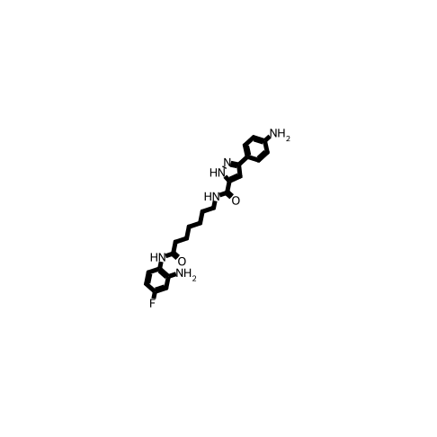 Nc1ccc(-c2cc(C(=O)NCCCCCCC(=O)Nc3ccc(F)cc3N)[nH]n2)cc1